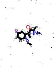 CCn1cc(C(=O)C(C)NC)c2cc(I)ccc21